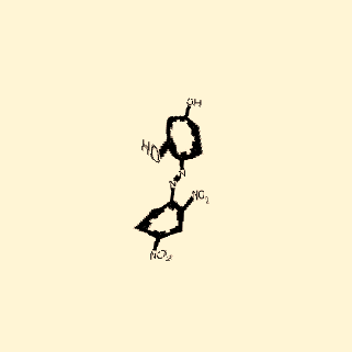 O=[N+]([O-])c1ccc(N=Nc2ccc(O)cc2O)c([N+](=O)[O-])c1